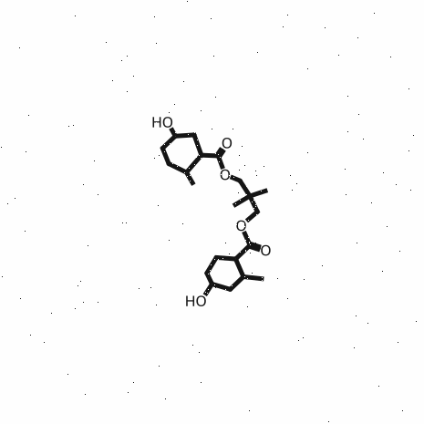 CC1CC(O)CCC1C(=O)OCC(C)(C)COC(=O)C1CC(O)CCC1C